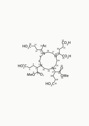 COC(=O)C(CCC(=O)O)N1CCN(C(CCC(=O)O)C(C)=O)CCN(C(CCC(=O)O)C(=O)O)CCN(C(CCC(=O)O)C(=O)OC)CC1